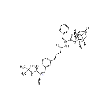 CC(C)(C)NC(=O)/C(C#N)=C\c1cccc(OCCC(=O)N[C@@H](Cc2ccccc2)B2O[C@@H]3C[C@@H]4C[C@@H](C4(C)C)[C@]3(C)O2)c1